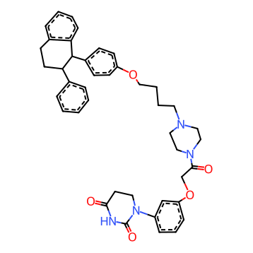 O=C1CCN(c2cccc(OCC(=O)N3CCN(CCCCOc4ccc(C5c6ccccc6CCC5c5ccccc5)cc4)CC3)c2)C(=O)N1